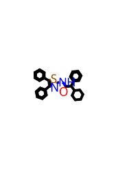 O=C(Nc1nc(-c2ccccc2)c(-c2ccccc2)s1)C(c1ccccc1)C1CCCCC1